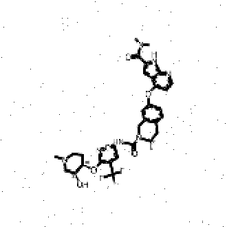 C[C@@H]1Cc2ccc(Oc3ccnc4[nH]c(C(=O)N(C)C)cc34)cc2CN1C(=O)Nc1cnc(O[C@@H]2CCN(C)C[C@@H]2O)c(C(F)(F)F)c1